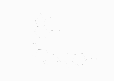 CCC(C)c1ccc(S(=O)(=O)N(C)Cc2cc(C(CC(=O)O)c3cc(OC)c4c(c3)nnn4C)ccc2C)cc1